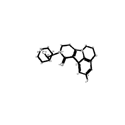 O=C1c2c(n3c4c(cc(F)cc24)CCC3)CCN1C1CN2CCC1CC2